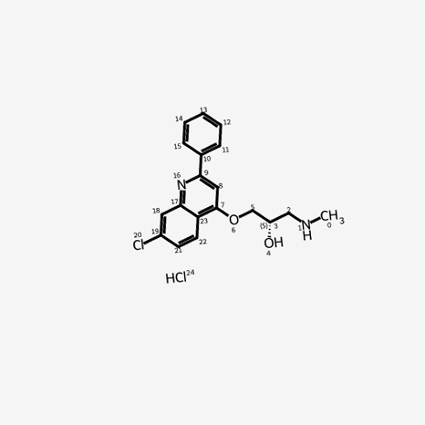 CNC[C@H](O)COc1cc(-c2ccccc2)nc2cc(Cl)ccc12.Cl